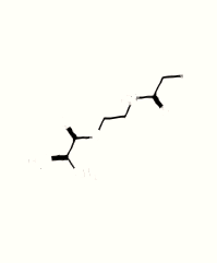 C=C(C)C(=O)OCCNC(=O)CI